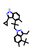 CCc1nn(CC(C)(C)c2c(C)ccc3[nH]nc(C4CC4)c23)c2ccc(C)c(C(C)(C)C)c12